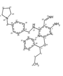 CCCC(Oc1nc(N)c(C=N)c(NCc2ccc(CN3CCCC3)cc2)n1)c1ccncc1